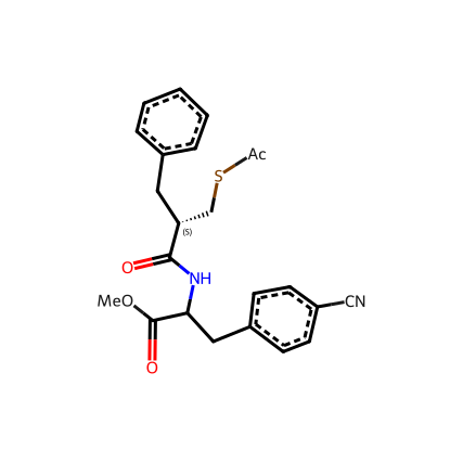 COC(=O)C(Cc1ccc(C#N)cc1)NC(=O)[C@@H](CSC(C)=O)Cc1ccccc1